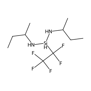 CCC(C)N[SiH](NC(C)CC)C(F)(F)C(F)(F)F